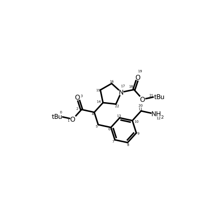 CC(C)(C)OC(=O)C(Cc1cccc(CN)c1)C1CCN(C(=O)OC(C)(C)C)C1